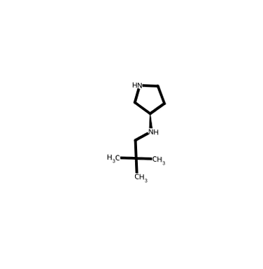 CC(C)(C)CN[C@@H]1CCNC1